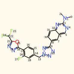 CN(C)c1ncc2cc(-c3nnn(Cc4ccc(-c5nnc(C(F)F)o5)c(F)c4)n3)ccc2n1